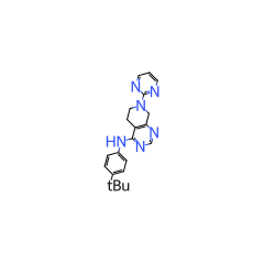 CC(C)(C)c1ccc(Nc2ncnc3c2CCN(c2ncccn2)C3)cc1